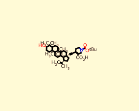 C=C(C)[C@@H]1CC[C@]2(C#CC3=C(C(=O)O)CN(C(=O)OC(C)(C)C)CC3)CC[C@]3(C)C(CCC4[C@@]5(C)CC[C@H](O)C(C)(C)C5CC[C@]43C)C12